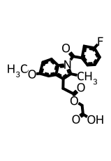 COc1ccc2c(c1)c(CC(=O)OCC(=O)O)c(C)n2C(=O)c1cccc(F)c1